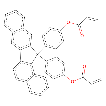 C=CC(=O)Oc1ccc(C2(c3ccc(OC(=O)C=C)cc3)c3cc4ccccc4cc3-c3ccc4ccccc4c32)cc1